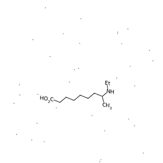 [CH2]CNC(C)CCCCCCC(=O)O